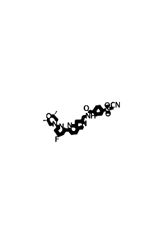 C[C@@H]1CN(c2cc(F)cc(-c3ccc4cnc(CNC(=O)c5ccc(S(=O)(=O)CC#N)cc5)cc4n3)n2)C[C@H](C)O1